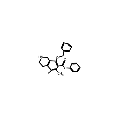 Cc1c(F)c2c(c(OCc3ccccc3)c1C(=O)Oc1ccccc1)CNCC2